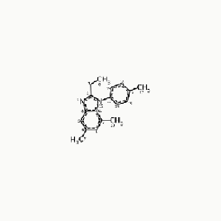 CCc1nc2cc(C)cc(C)c2n1-c1ccc(C)cc1